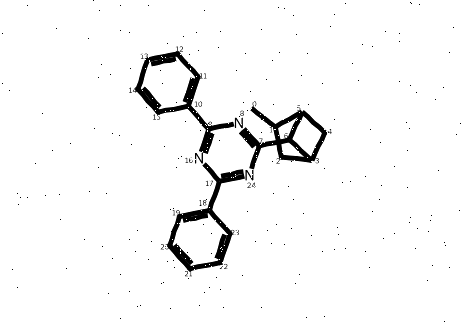 CC1CC2CC1C2c1nc(-c2ccccc2)nc(-c2ccccc2)n1